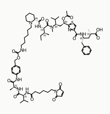 CC[C@H](C)[C@H](NC(=O)[C@H]1CCCCN1CCCCCCNC(=O)OCc1ccc(NC(=O)[C@H](C)NC(=O)[C@@H](NC(=O)CCCCCN2C(=O)C=CC2=O)C(C)C)cc1)C(=O)N(C)[C@H](C[C@@H](OC(C)=O)c1nc(C(=O)N[C@@H](Cc2ccccc2)C[C@H](C)C(=O)O)cs1)C(C)C